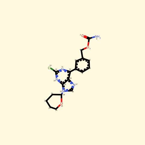 NC(=O)OCc1cccc(-c2nc(Cl)nc3c2ncn3C2CCCCO2)c1